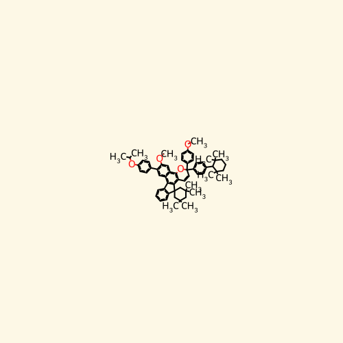 COc1ccc(C2(c3ccc(C4C(C)(C)CCCC4(C)C)cc3)C=Cc3c4c(c5cc(-c6ccc(OC(C)C)cc6)c(OC)cc5c3O2)-c2ccccc2C42CC(C)(C)CC(C)(C)C2)cc1